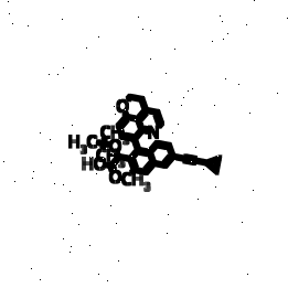 Cc1cc2cc(C#CC3CC3)ccc2c(-c2ccc3c4c(ccnc24)CCO3)c1[C@H](OC(C)(C)C)C(=O)O